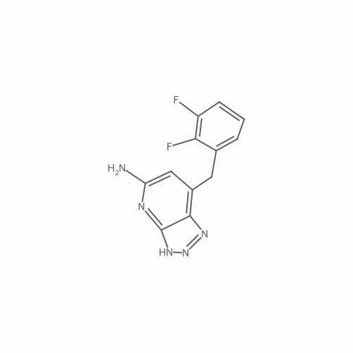 Nc1cc(Cc2cccc(F)c2F)c2nn[nH]c2n1